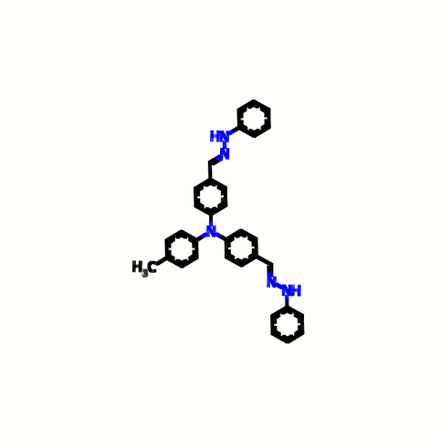 Cc1ccc(N(c2ccc(C=NNc3ccccc3)cc2)c2ccc(C=NNc3ccccc3)cc2)cc1